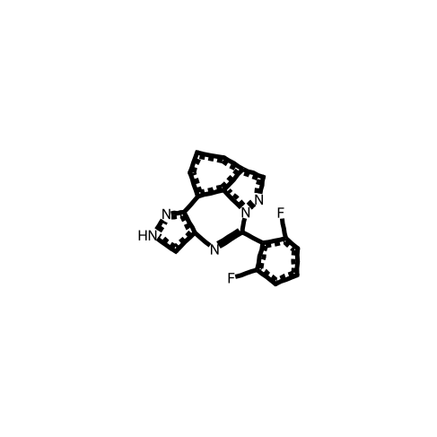 Fc1cccc(F)c1C1=Nc2c[nH]nc2-c2cccc3cnn1c23